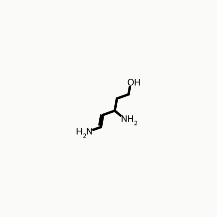 NC=CC(N)CCO